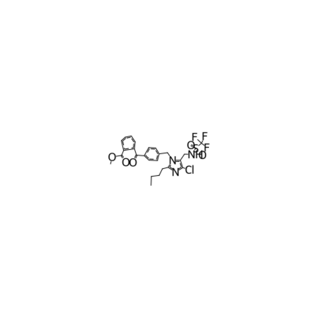 CCCCc1nc(Cl)c(CNS(=O)(=O)C(F)(F)F)n1Cc1ccc(C(=O)c2ccccc2C(=O)OC)cc1